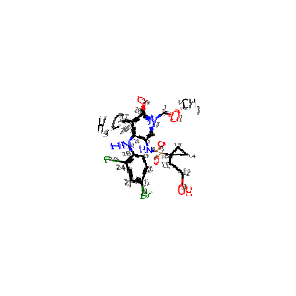 COCn1cc(NS(=O)(=O)C2(CCO)CC2)c(Nc2ccc(Br)cc2F)c(C)c1=O